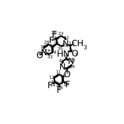 CC(C(=O)Nc1cnc(Oc2ccc(F)c(F)c2F)cn1)N1CCC(F)(F)C(c2cc[n+]([O-])cc2)C1